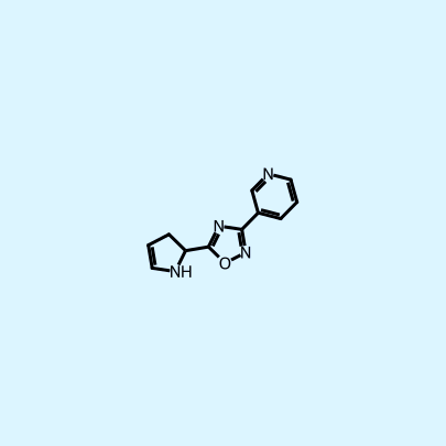 C1=CNC(c2nc(-c3cccnc3)no2)C1